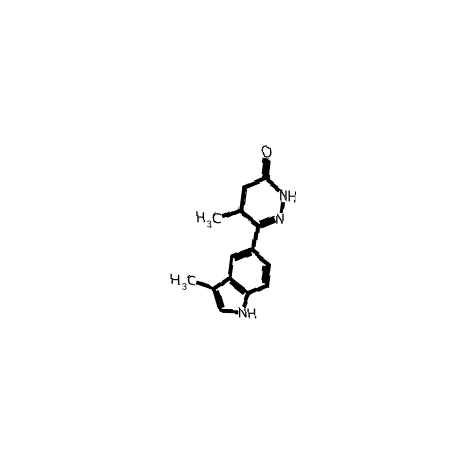 Cc1c[nH]c2ccc(C3=NNC(=O)CC3C)cc12